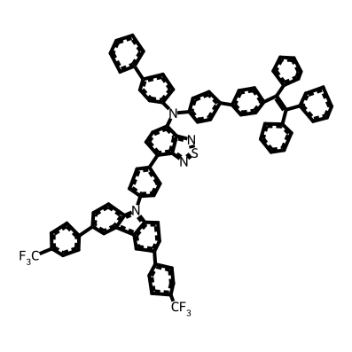 FC(F)(F)c1ccc(-c2ccc3c(c2)c2cc(-c4ccc(C(F)(F)F)cc4)ccc2n3-c2ccc(-c3ccc(N(c4ccc(-c5ccccc5)cc4)c4ccc(-c5ccc(C(=C(c6ccccc6)c6ccccc6)c6ccccc6)cc5)cc4)c4nsnc34)cc2)cc1